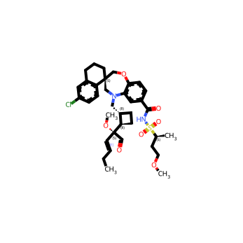 CC/C=C/[C@@](C=O)(OC)[C@@H]1CC[C@H]1CN1C[C@@]2(CCCc3cc(Cl)ccc32)COc2ccc(C(=O)NS(=O)(=O)[C@@H](C)CCOC)cc21